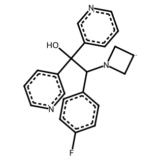 OC(c1cccnc1)(c1cccnc1)C(c1ccc(F)cc1)N1C[CH]C1